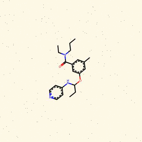 CCCN(CC)C(=O)c1cc(C)cc(OC(CC)Nc2ccncc2)c1